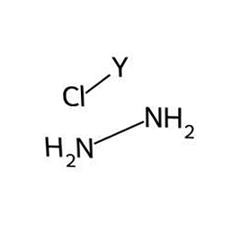 NN.[Cl][Y]